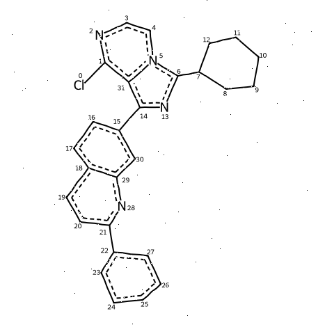 Clc1nccn2c(C3CCCCC3)nc(-c3ccc4ccc(-c5ccccc5)nc4c3)c12